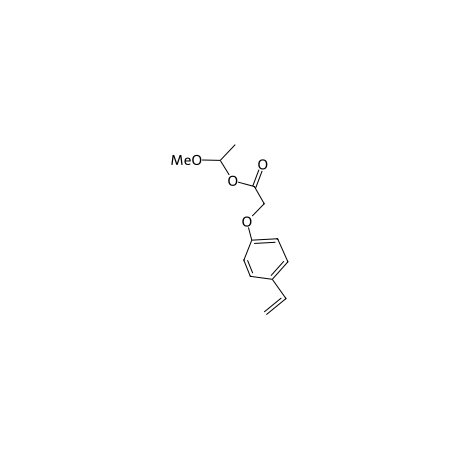 C=Cc1ccc(OCC(=O)OC(C)OC)cc1